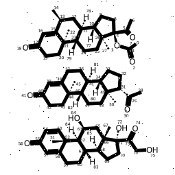 CC(=O)O[C@]1(C(C)=O)CC[C@H]2[C@@H]3C[C@H](C)C4=CC(=O)CC[C@]4(C)[C@H]3CC[C@@]21C.CC(=O)[C@H]1CC[C@H]2[C@@H]3CCC4=CC(=O)CC[C@]4(C)[C@H]3CC[C@]12C.C[C@]12C=CC(=O)C=C1CC[C@@H]1[C@@H]2[C@@H](O)C[C@@]2(C)[C@H]1CC[C@]2(O)C(=O)CO